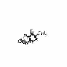 Cc1ccc(N=C=O)c(F)c1F